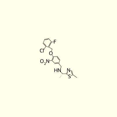 Cc1cnc([C@H](C)NCc2ccc(OCc3c(F)cccc3Cl)c([N+](=O)[O-])c2)s1